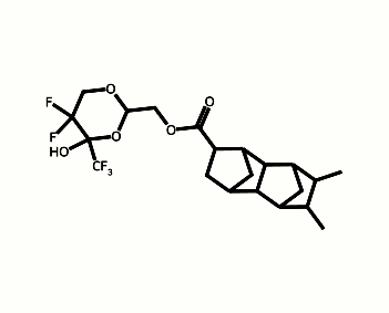 CC1C(C)C2CC1C1C3CC(C(=O)OCC4OCC(F)(F)C(O)(C(F)(F)F)O4)C(C3)C21